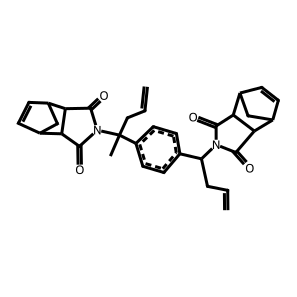 C=CCC(c1ccc(C(C)(CC=C)N2C(=O)C3C4C=CC(C4)C3C2=O)cc1)N1C(=O)C2C3C=CC(C3)C2C1=O